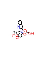 CC[C@@]1(O)C(=O)CCc2c1cc1n(c2=O)[C@H](OCCO)c2cc3ccccc3nc2-1